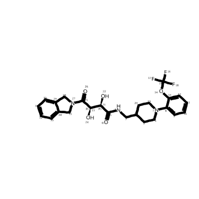 O=C(NCC1CCN(c2ccccc2OC(F)(F)F)CC1)[C@H](O)[C@@H](O)C(=O)N1Cc2ccccc2C1